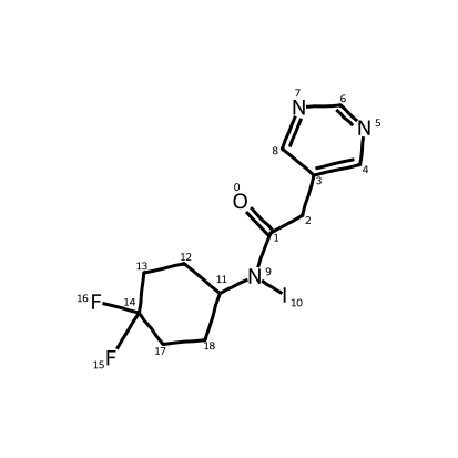 O=C(Cc1cncnc1)N(I)C1CCC(F)(F)CC1